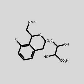 CNCC1OCCc2cccc(F)c21.O=C(O)C(O)C(O)C(=O)O